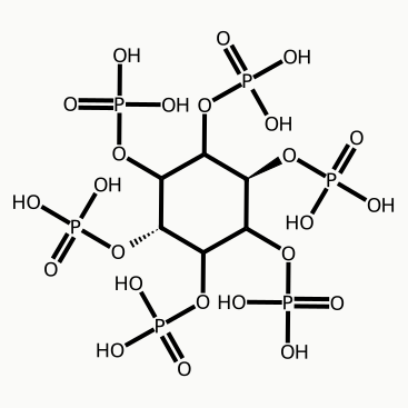 O=P(O)(O)OC1C(OP(=O)(O)O)[C@H](OP(=O)(O)O)C(OP(=O)(O)O)C(OP(=O)(O)O)[C@H]1OP(=O)(O)O